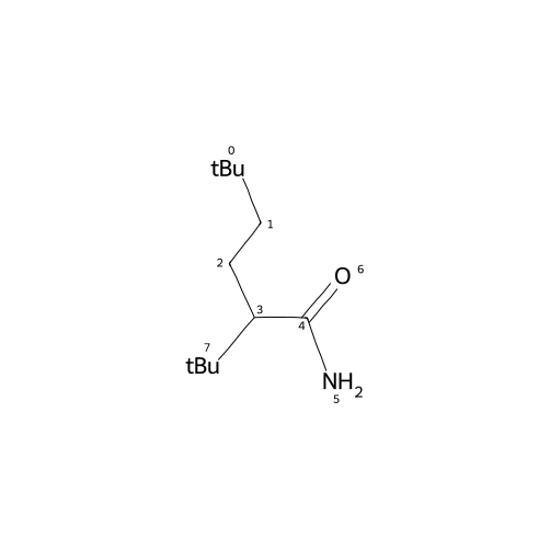 CC(C)(C)CCC(C(N)=O)C(C)(C)C